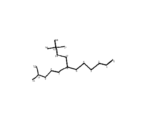 CCCCCC[C](CCCC(C)C)CCC(C)(C)C